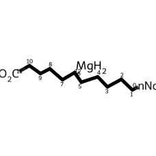 CCCCCCCCCCCCCCCCCCCC(=O)O.[MgH2]